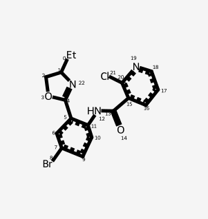 CCC1COC(c2cc(Br)ccc2NC(=O)c2cccnc2Cl)=N1